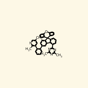 Cc1cnc(C)c(-c2ccccc2-c2ccc3c(c2)-c2c(-c4nc(C)nc(C)n4)cccc2C32c3ccccc3Oc3ccccc32)c1